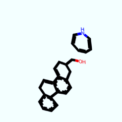 C1=CC=CNC=C1.OCC1CC=c2c(ccc3c2=CCc2ccccc2-3)C1